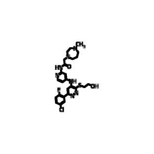 CN1CCCN(CC(=O)Nc2cc(Nc3cc(-c4cc(Cl)ccc4F)nnc3SCCO)ccn2)CC1